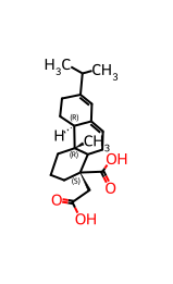 CC(C)C1=CC2=CCC3[C@](CC(=O)O)(C(=O)O)CCC[C@]3(C)[C@H]2CC1